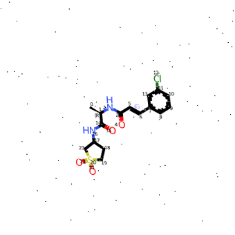 C[C@@H](NC(=O)/C=C/c1cccc(Cl)c1)C(=O)NC1CCS(=O)(=O)C1